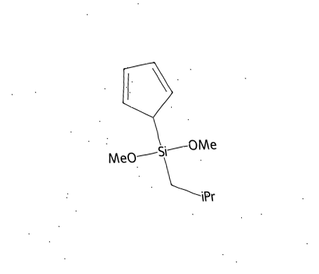 CO[Si](CC(C)C)(OC)C1C=CC=C1